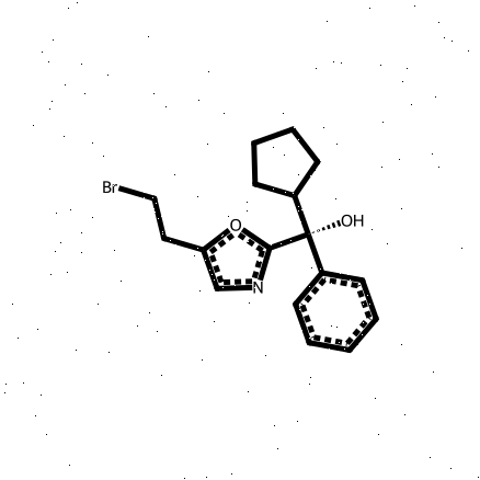 O[C@](c1ccccc1)(c1ncc(CCBr)o1)C1CCCC1